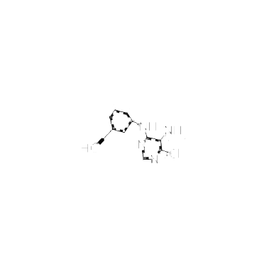 C#Cc1cccc(Nc2ncnc(Cl)c2N)c1